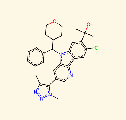 Cc1nnn(C)c1-c1cnc2c3cc(Cl)c(C(C)(C)O)cc3n(C(c3ccccc3)C3CCOCC3)c2c1